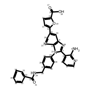 Nc1ncccc1-c1nc2cc(-c3ccc(C(=O)O)o3)cnc2n1-c1ccc(CNC(=O)c2ccccc2)cc1